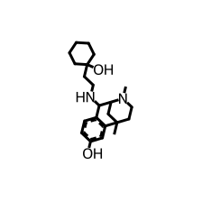 CN1CCC2(C)CC1C(NCCC1(O)CCCCC1)c1ccc(O)cc12